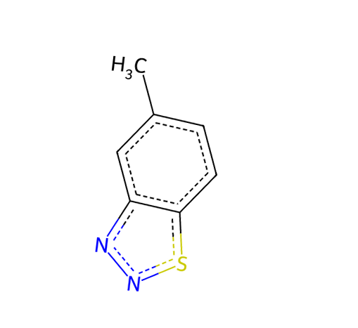 Cc1ccc2snnc2c1